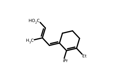 CCC1=C(C(C)C)C(=CC(C)=CC(=O)O)CCC1